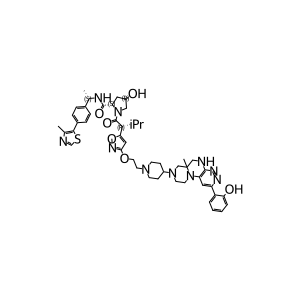 Cc1ncsc1-c1ccc([C@H](C)NC(=O)[C@@H]2C[C@@H](O)CN2C(=O)[C@@H](c2cc(OCCN3CCC(N4CCN5c6cc(-c7ccccc7O)nnc6NCC5(C)C4)CC3)no2)C(C)C)cc1